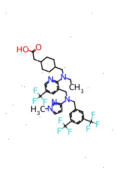 CCN(CC1CCC(CC(=O)O)CC1)c1ncc(C(F)(F)F)cc1CN(Cc1cc(C(F)(F)F)cc(C(F)(F)F)c1)c1ccn(C)n1